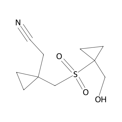 N#CCC1(CS(=O)(=O)C2(CO)CC2)CC1